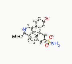 COc1ncc(-c2ccc(Br)cc2)c(-c2ccc(S(N)(=O)=O)cc2)c1C(F)(F)F